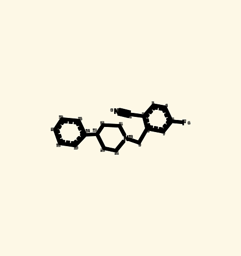 N#Cc1ccc(F)cc1CN1CCC(c2ccccc2)CC1